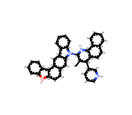 Cc1c(-n2c3ccccc3c3cc4c(ccc5oc6ccccc6c54)cc32)nc2c(ccc3ccccc32)c1-c1cccnc1